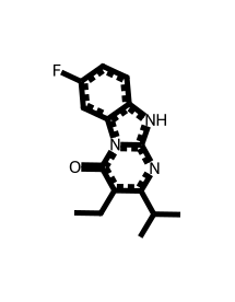 CCc1c(C(C)C)nc2[nH]c3ccc(F)cc3n2c1=O